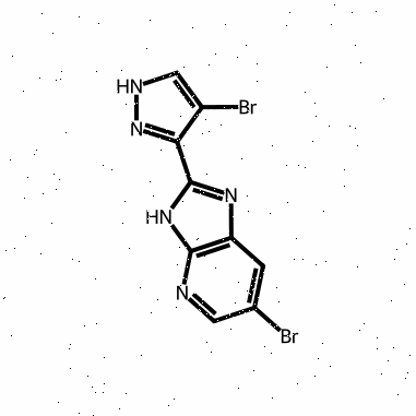 Brc1cnc2[nH]c(-c3n[nH]cc3Br)nc2c1